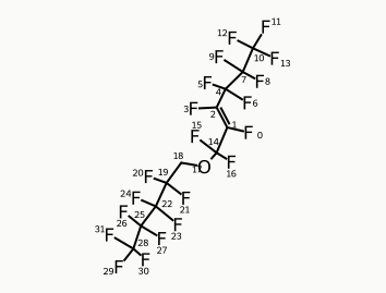 FC(=C(F)C(F)(F)C(F)(F)C(F)(F)F)C(F)(F)OCC(F)(F)C(F)(F)C(F)(F)C(F)(F)F